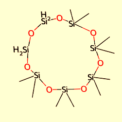 C[Si]1(C)O[SiH2]O[SiH2]O[Si](C)(C)O[Si](C)(C)O[Si](C)(C)O[Si](C)(C)O1